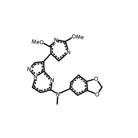 COc1ncc(-c2cnn3ccc(N(C)c4ccc5c(c4)OCO5)nc23)c(OC)n1